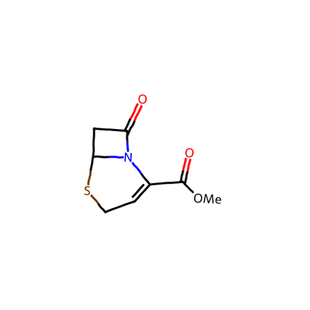 COC(=O)C1=CCSC2CC(=O)N12